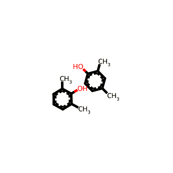 Cc1ccc(O)c(C)c1.Cc1cccc(C)c1O